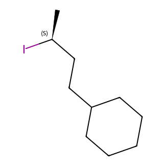 C[C@H](I)CCC1CCCCC1